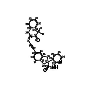 CC(C)(C)C(=O)N(CC#Cc1ccc2c(c1)CC1(C2)C(=O)Nc2ncccc21)Cc1ccccc1